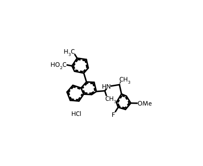 COc1cc(F)cc([C@@H](C)NC(C)c2cc(-c3ccc(C)c(C(=O)O)c3)c3ccccc3c2)c1.Cl